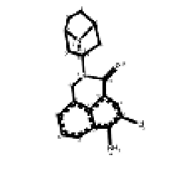 CN1C2CCC1CC(N1Cc3cccc4c(N)c(Cl)cc(c34)C1=O)C2